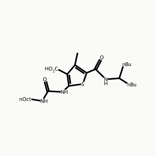 CCCCCCCCNC(=O)Nc1sc(C(=O)NC(CCCC)CCCC)c(C)c1C(=O)O